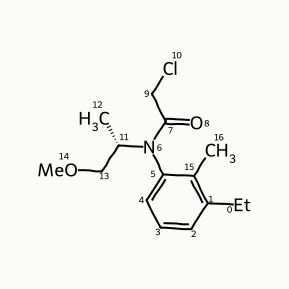 CCc1cccc(N(C(=O)CCl)[C@@H](C)COC)c1C